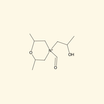 CC(O)C[N+]1(C=O)CC(C)OC(C)C1